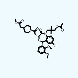 COC(=O)CC1CCN(C(=O)C[C@H]2O[C@H](c3cccc(OC)c3OC)c3cc(Cl)ccc3N(CC(C)(C)COC(C)=O)C2=O)CC1